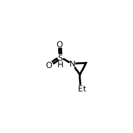 CCC1CN1[SH](=O)=O